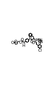 O=C(C=Cc1cc(Cl)ccc1-n1cnnn1)NC(Cc1ccccc1)C(=O)Nc1ccc(NC(=O)OCC2CCC(=O)O2)cc1